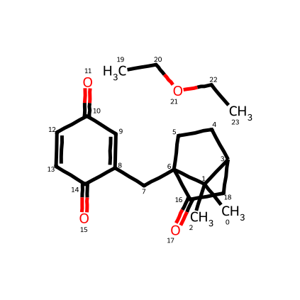 CC1(C)C2CCC1(CC1=CC(=O)C=CC1=O)C(=O)C2.CCOCC